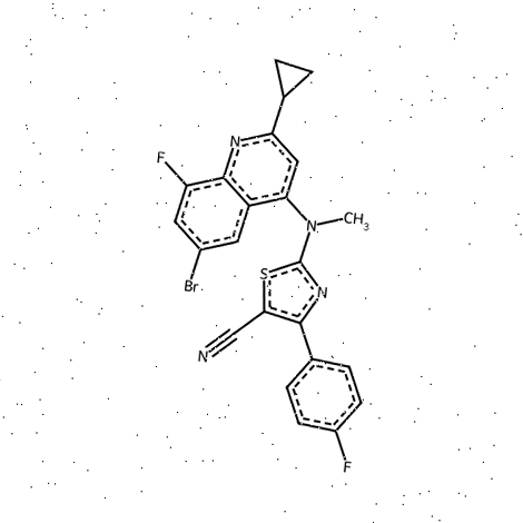 CN(c1nc(-c2ccc(F)cc2)c(C#N)s1)c1cc(C2CC2)nc2c(F)cc(Br)cc12